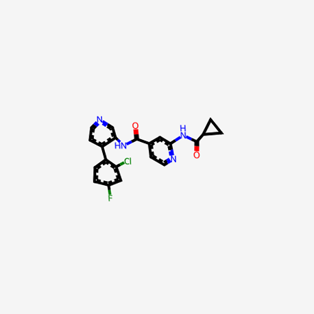 O=C(Nc1cnccc1-c1ccc(F)cc1Cl)c1ccnc(NC(=O)C2CC2)c1